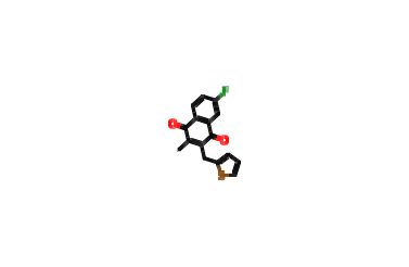 CC1=C(Cc2cccs2)C(=O)c2cc(F)ccc2C1=O